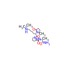 CC(C)NCCCCC(C(=O)N1CCCC1C(=O)NC(C)C(N)=O)N1C(=O)CCC1C